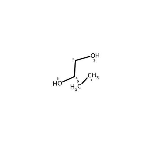 CC.OCCO